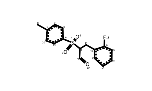 Cc1ccc(S(=O)(=O)C(C=O)Cc2ccccc2F)cc1